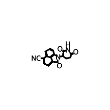 N#Cc1ccc2c3c(cccc13)N(C1CCC(=O)NC1=O)C2=O